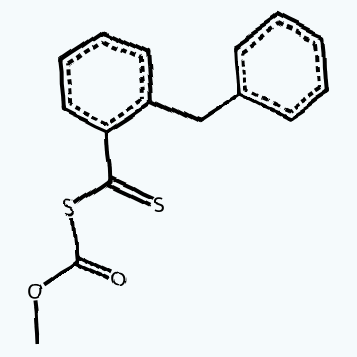 COC(=O)SC(=S)c1ccccc1Cc1ccccc1